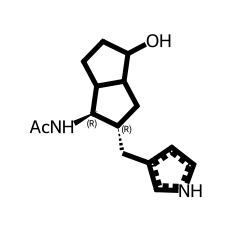 CC(=O)N[C@H]1C2CCC(O)C2C[C@@H]1Cc1cc[nH]c1